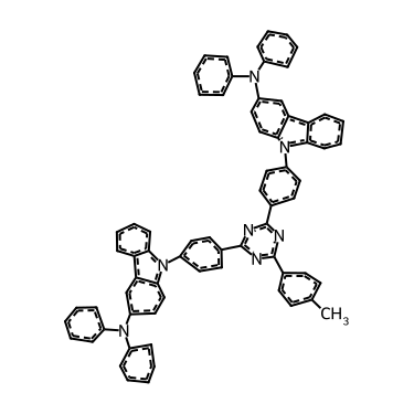 Cc1ccc(-c2nc(-c3ccc(-n4c5ccccc5c5cc(N(c6ccccc6)c6ccccc6)ccc54)cc3)nc(-c3ccc(-n4c5ccccc5c5cc(N(c6ccccc6)c6ccccc6)ccc54)cc3)n2)cc1